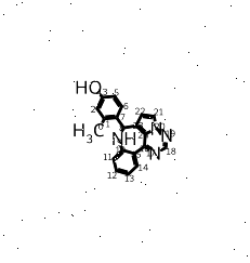 Cc1cc(O)ccc1C1Nc2ccccc2-c2ncnn3ccc1c23